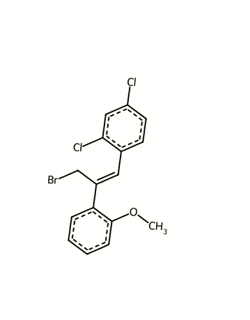 COc1ccccc1C(=Cc1ccc(Cl)cc1Cl)CBr